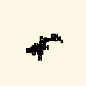 CCN(C(=O)Nc1c[nH]nc1-c1nc2cc(F)c(OCCCN(C)C)cc2[nH]1)C(C)C